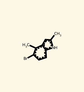 Cc1cc2c(C)c(Br)ccc2[nH]1